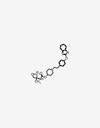 CC(C)(CO)NC(=O)OC1CCN(CCc2ccc(Oc3nc4ccccc4s3)cc2)CC1